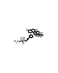 CCNC(=O)NCC#Cc1ccc([C@H]2C[C@@]3(C)[C@@H](CC[C@@]3(O)C(F)(F)C(F)(F)F)[C@@H]3CCC4=CC(=O)CCC4=C32)cc1